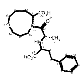 C[C@H](NC(CCc1ccccc1)C(=O)O)C(=O)N1CCCOCCCC1C(=O)O